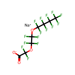 O=C([O-])C(F)(F)OC(F)(F)C(F)(F)OC(F)(F)C(F)(F)C(F)(F)C(F)(F)F.[Na+]